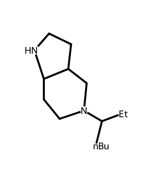 CCCCC(CC)N1CCC2NCCC2C1